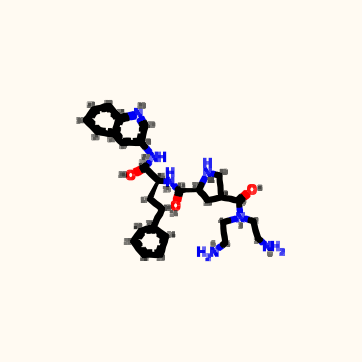 NCCN(CCN)C(=O)C1CN[C@H](C(=O)N[C@@H](CCc2ccccc2)C(=O)Nc2cnc3ccccc3c2)C1